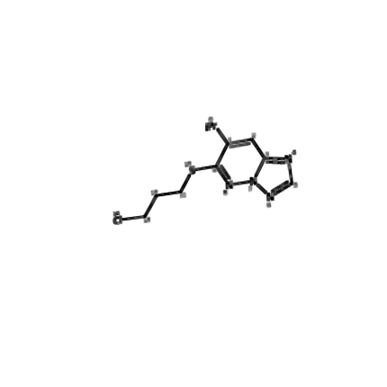 CC(C)c1cc2ncnn2nc1SCCCCl